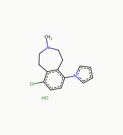 CN1CCc2c(Cl)ccc(-n3cccc3)c2CC1.Cl